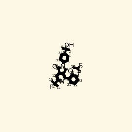 CC(C)(O)c1ccc(N2Cc3c(cc(C(C)(C)F)nc3-c3ccccc3OCC(F)F)C2=O)cc1